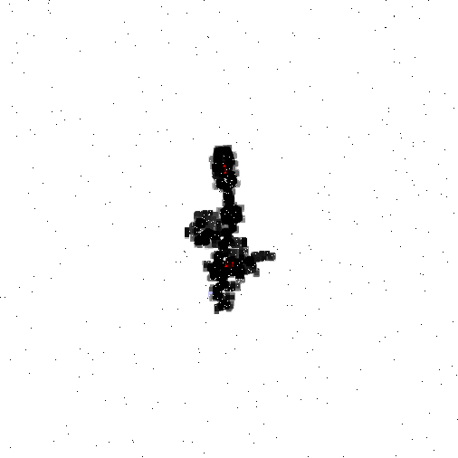 COC(=O)N[C@H](C(=O)N[C@@H](Cc1ccc(C#Cc2ccc(N3CC4CCC(C3)N4C3(C)COC3)nc2)cc1)[C@@H](O)CN(Cc1c(F)cc(C(=N)/C=C\NC(F)F)cc1F)NC(=O)[C@@H](NC(=O)OC)C(C)(C)C(F)(F)F)C(C)(C)C(F)(F)F